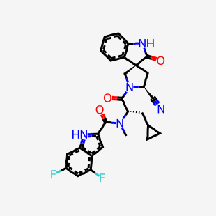 CN(C(=O)c1cc2c(F)cc(F)cc2[nH]1)[C@@H](CC1CC1)C(=O)N1C[C@]2(C[C@H]1C#N)C(=O)Nc1ccccc12